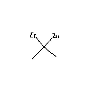 CC[C](C)(C)[Zn]